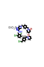 CCOC(=O)n1nc(NCc2c(Br)ccc(OC)c2F)c2c1CN(Cc1ccc(Cn3ccccc3=O)cc1)C2.O=c1ccccn1Cc1ccc(CBr)cc1